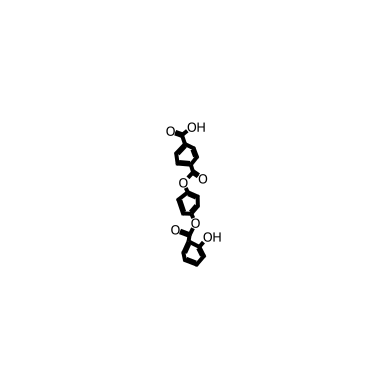 O=C(O)c1ccc(C(=O)Oc2ccc(OC(=O)c3ccccc3O)cc2)cc1